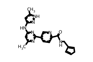 Cc1cc(Nc2cc(C)[nH]n2)nc(-c2ccc(C(=O)NCC3=CCC=C3)nc2)n1